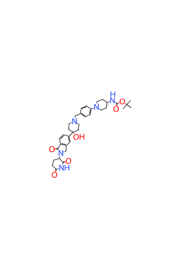 CC(C)(C)OC(=O)NC1CCN(c2ccc(CN3CCC(O)(c4ccc5c(c4)CN(C4CCC(=O)NC4=O)C5=O)CC3)cc2)CC1